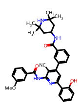 COc1cccc(C(=O)Nc2nc(-c3ccccc3O)cc(-c3cccc(C(=O)NC4CC(C)(C)NC(C)(C)C4)c3)c2C#N)c1